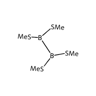 CSB(SC)B(SC)SC